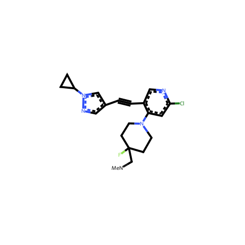 CNCC1(F)CCN(c2cc(Cl)ncc2C#Cc2cnn(C3CC3)c2)CC1